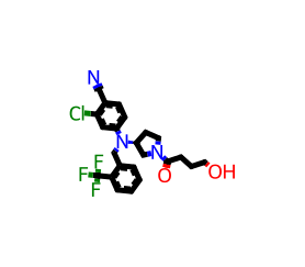 N#Cc1ccc(N(Cc2ccccc2C(F)(F)F)[C@H]2CCN(C(=O)CCCO)C2)cc1Cl